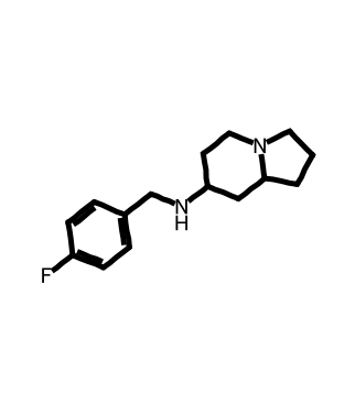 Fc1ccc(CNC2CCN3CCCC3C2)cc1